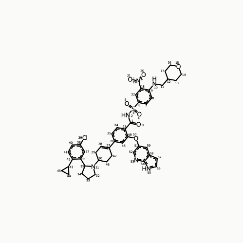 O=C(NS(=O)(=O)c1ccc(NCC2CCOCC2)c([N+](=O)[O-])c1)c1ccc(C2=CCC(N3CCCC3c3cc(Cl)ccc3C3CC3)CC2)cc1Oc1cnc2[nH]ccc2c1